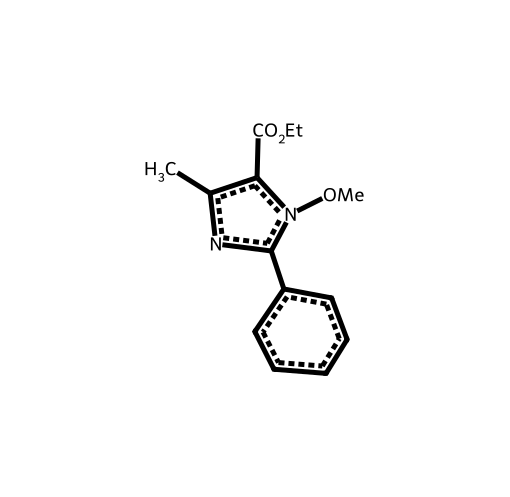 CCOC(=O)c1c(C)nc(-c2ccccc2)n1OC